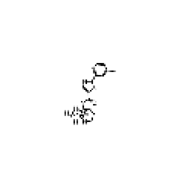 C[C@H]1[C@H](NC(=O)c2cnc(-c3cc(F)ccn3)s2)C2CCN1CC2